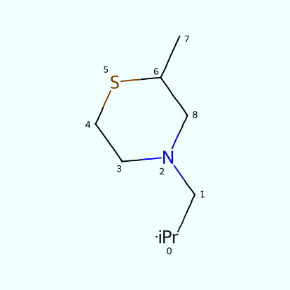 C[C](C)CN1CCSC(C)C1